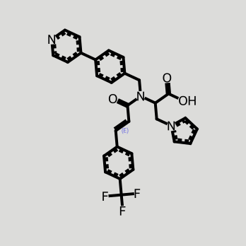 O=C(O)C(Cn1cccc1)N(Cc1ccc(-c2ccncc2)cc1)C(=O)/C=C/c1ccc(C(F)(F)F)cc1